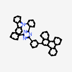 c1ccc(-c2nc(-c3cccc(-c4cc5c6ccccc6c6ccccc6c5c5ccccc45)c3)nc(-c3ccccc3-n3c4ccccc4c4ccccc43)n2)cc1